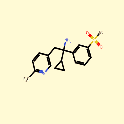 CCS(=O)(=O)c1cccc(C(N)(Cc2ccc(C(F)(F)F)nc2)C2CC2)c1